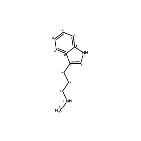 CNCCCc1c[nH]c2ccccc12